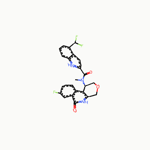 CN(C(=O)c1cc2c(C(F)F)cccc2[nH]1)[C@H]1COCc2[nH]c(=O)c3cc(F)ccc3c21